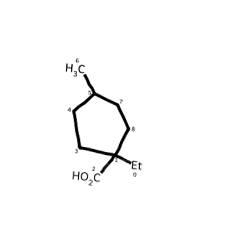 CCC1(C(=O)O)CCC(C)CC1